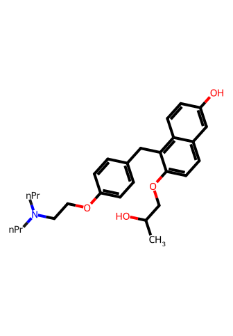 CCCN(CCC)CCOc1ccc(Cc2c(OCC(C)O)ccc3cc(O)ccc23)cc1